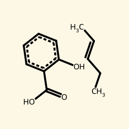 C/C=C/CC.O=C(O)c1ccccc1O